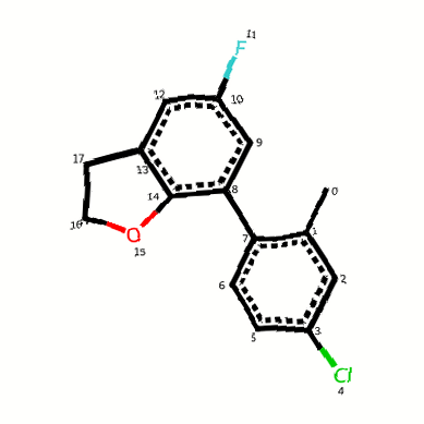 Cc1cc(Cl)ccc1-c1cc(F)cc2c1O[C]C2